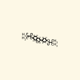 C=C(C)C(=O)Oc1ccc(C2=Cc3ccc(OC(=O)C(=C)C)cc3OC2)cc1